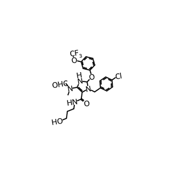 CN(C=O)C1=C(C(=O)NCCCO)N(Cc2ccc(Cl)cc2)C(Oc2cccc(OC(F)(F)F)c2)N1